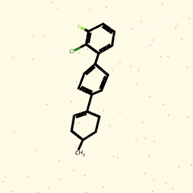 CC1CC=C(c2ccc(-c3cccc(F)c3Cl)cc2)CC1